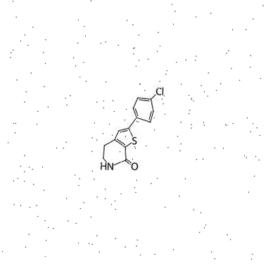 O=C1NCCc2cc(-c3ccc(Cl)cc3)sc21